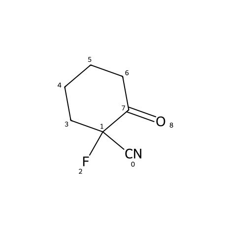 N#CC1(F)CCCCC1=O